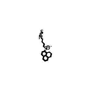 [O-][S+](C=CCCN=C=S)c1ccc2cccc3c2c1CC=C3